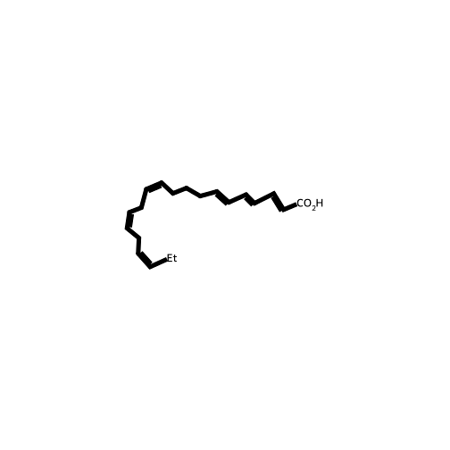 CC/C=C\C/C=C\C/C=C\CCC/C=C/C=C/C=C/C(=O)O